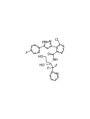 O=C(N[C@@H]([C@H](O)CO)C(F)(F)c1ccccn1)c1cccc(Cl)c1-c1cc(-c2ccc(F)cc2)[nH]n1